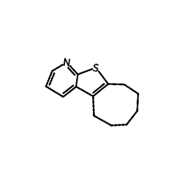 c1cnc2sc3c(c2c1)CCCCCC3